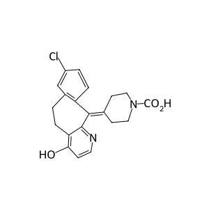 O=C(O)N1CCC(=C2c3ccc(Cl)cc3CCc3c(O)ccnc32)CC1